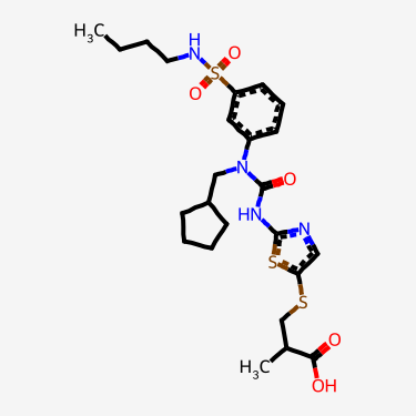 CCCCNS(=O)(=O)c1cccc(N(CC2CCCC2)C(=O)Nc2ncc(SCC(C)C(=O)O)s2)c1